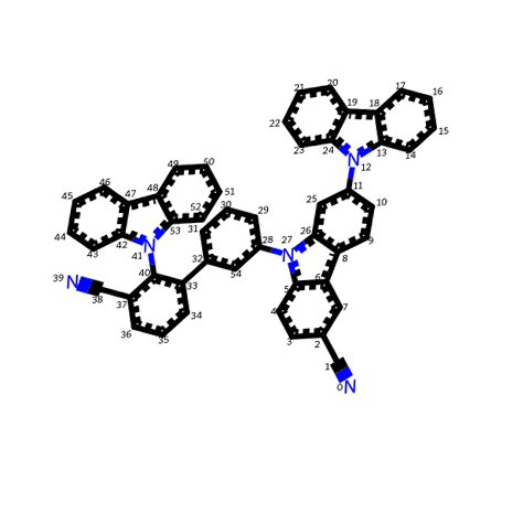 N#Cc1ccc2c(c1)c1ccc(-n3c4ccccc4c4ccccc43)cc1n2-c1cccc(-c2cccc(C#N)c2-n2c3ccccc3c3ccccc32)c1